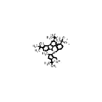 CCC1=[C]([Zr](=[CH]c2ccc(C(C)(C)C)cc2)[CH]2c3ccc(C(C)(C)C)cc3-c3cc(C(C)(C)C)ccc32)C(C)C=C1C(C)(C)C